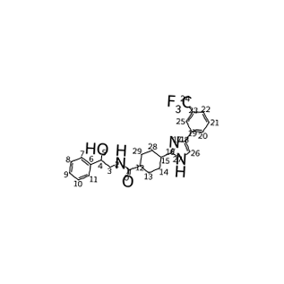 O=C(NCC(O)c1ccccc1)C1CCC(c2nc(-c3cccc(C(F)(F)F)c3)c[nH]2)CC1